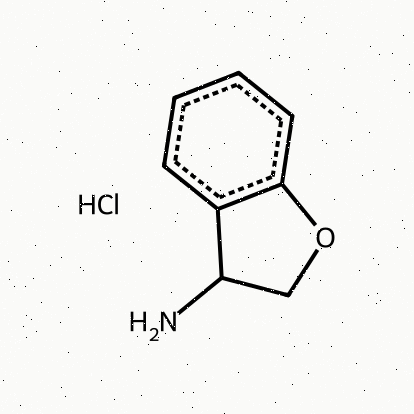 Cl.NC1COc2ccccc21